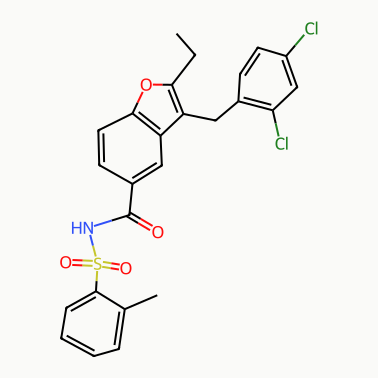 CCc1oc2ccc(C(=O)NS(=O)(=O)c3ccccc3C)cc2c1Cc1ccc(Cl)cc1Cl